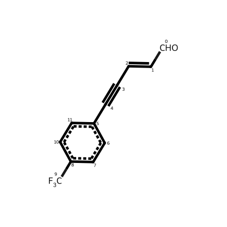 O=CC=CC#Cc1ccc(C(F)(F)F)cc1